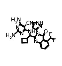 N#Cc1c(N)nc(N)nc1NC(c1nc2cccc(C(F)F)c2c(=O)n1-c1cc[nH]n1)C1CCC1